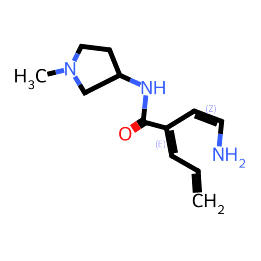 C=C/C=C(\C=C/N)C(=O)NC1CCN(C)C1